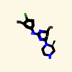 CCCc1cc(N2CCNC[C@H]2C)nc(Nc2ccc(F)c(C#N)c2)n1